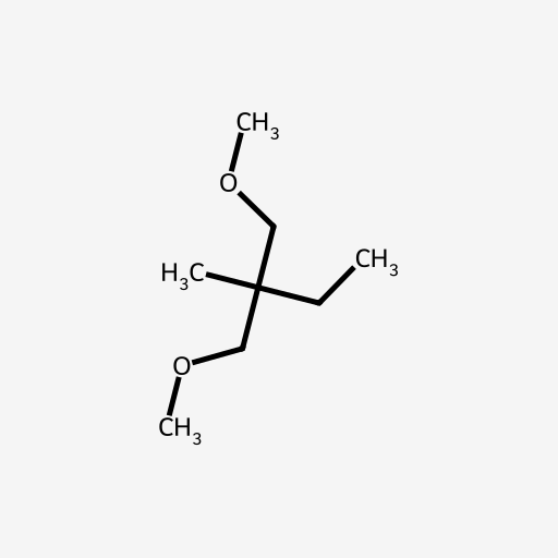 CCC(C)(COC)COC